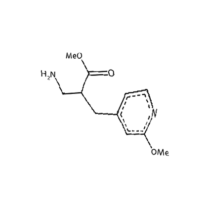 COC(=O)C(CN)Cc1ccnc(OC)c1